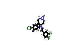 CN1CCc2c(n(C=Cc3ccc(F)c(F)c3)c3ccc(Cl)cc23)CC1